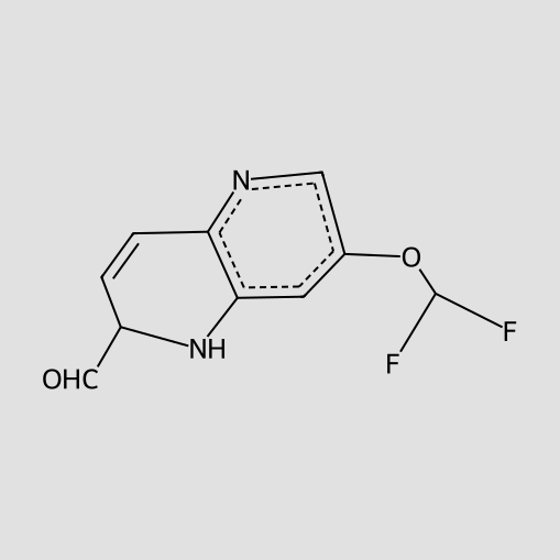 O=CC1C=Cc2ncc(OC(F)F)cc2N1